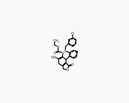 CCOC(=O)OC1=C(O)CC2=C(C(=O)OC2)C1c1ccccc1SCc1cccc(Cl)c1